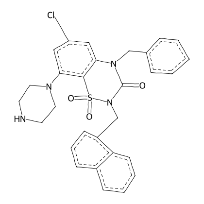 O=C1N(Cc2ccccc2)c2cc(Cl)cc(N3CCNCC3)c2S(=O)(=O)N1Cc1cccc2ccccc12